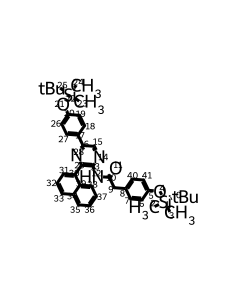 CC(C)(C)[Si](C)(C)Oc1ccc(CC(=O)Nc2ncc(-c3ccc(O[Si](C)(C)C(C)(C)C)cc3)nc2-c2cccc3ccccc23)cc1